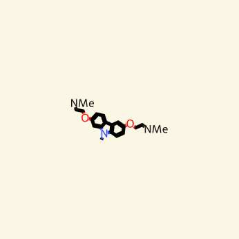 CNCCOc1ccc2c(c1)c1ccc(OCCNC)cc1n2C